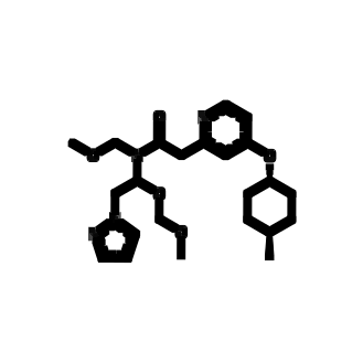 COCOC(Cn1cccn1)N(COC)C(=O)Cc1cc(O[C@H]2CC[C@H](C)CC2)ccn1